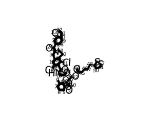 CS(=O)(=O)c1cccc(C[C@H](NC(=O)c2c(Cl)cc3c(c2Cl)CCN(C(=O)c2ccc4ccoc4c2)C3)C(=O)OCCOC(=O)CCCC[C@@H]2CCSS2)c1